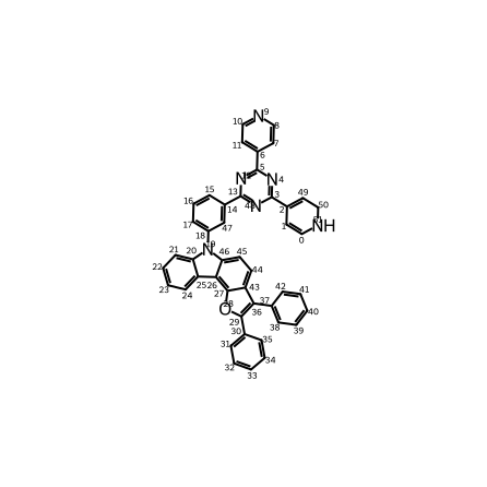 C1=CC(c2nc(-c3ccncc3)nc(-c3cccc(-n4c5ccccc5c5c6oc(-c7ccccc7)c(-c7ccccc7)c6ccc54)c3)n2)=CCN1